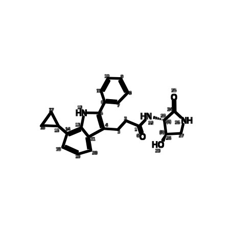 O=C(CCc1c(-c2ccccc2)[nH]c2c(C3CC3)cccc12)N[C@@H]1C(=O)NC[C@H]1O